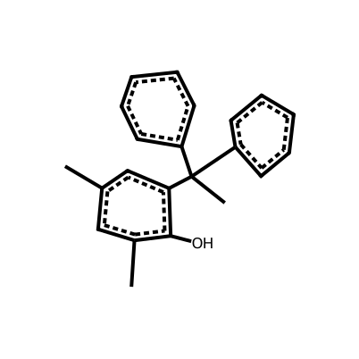 Cc1cc(C)c(O)c(C(C)(c2ccccc2)c2ccccc2)c1